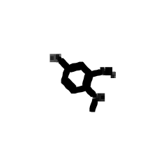 CNc1ccc(S)cc1N